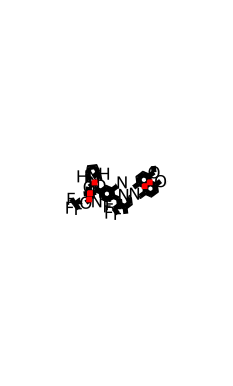 COc1ccc(CN(Cc2ccc(OC)cc2)c2cc(C)c(C(F)(F)F)c(-c3c(C#N)cc4c(N5C[C@H]6CC[C@@H](C5)N6C(=O)OC(C)(C)C)nc(OCC(F)(F)F)nc4c3F)n2)cc1